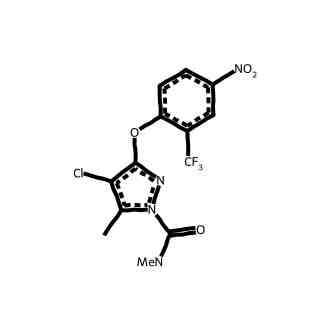 CNC(=O)n1nc(Oc2ccc([N+](=O)[O-])cc2C(F)(F)F)c(Cl)c1C